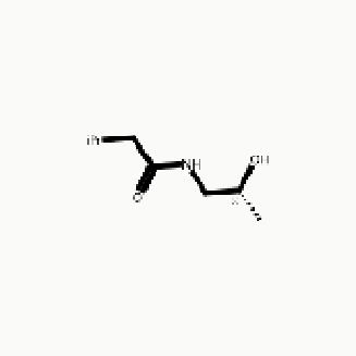 CC(C)CC(=O)NC[C@@H](C)O